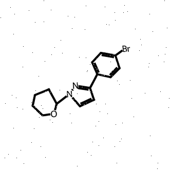 Brc1ccc(-c2ccn(C3CCCCO3)n2)cc1